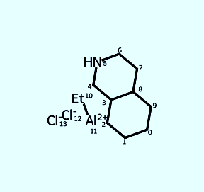 C1CCC2CNCCC2C1.C[CH2][Al+2].[Cl-].[Cl-]